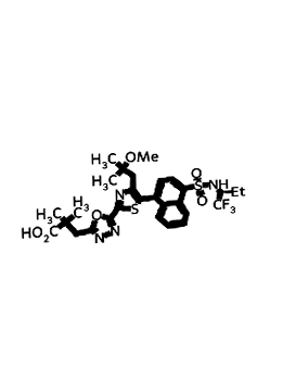 CC[C@H](NS(=O)(=O)c1ccc(-c2sc(-c3nnc(CC(C)(C)C(=O)O)o3)nc2CC(C)(C)OC)c2ccccc12)C(F)(F)F